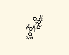 CC(=O)NC1CCN(c2cc(C(=O)Nc3ccc(C)c(-c4cc5cnc(Cl)cc5n(-c5ccccc5)c4=O)c3)cc(C(F)(F)F)c2)CC1